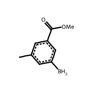 Bc1cc(C)cc(C(=O)OC)c1